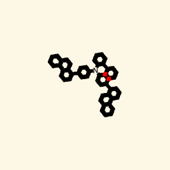 c1ccc(-c2ccccc2N(c2ccc(-c3cccc4c3ccc3ccccc34)cc2)c2ccc(-c3cccc4c3ccc3ccccc34)cc2)cc1